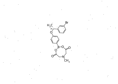 C[C@@H](Oc1ccc(B2OC(=O)CN(C)CC(=O)O2)cc1)c1cccc(Br)c1